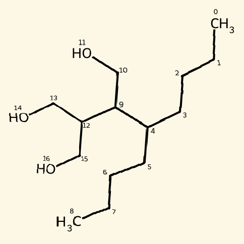 CCCCC(CCCC)C(CO)C(CO)CO